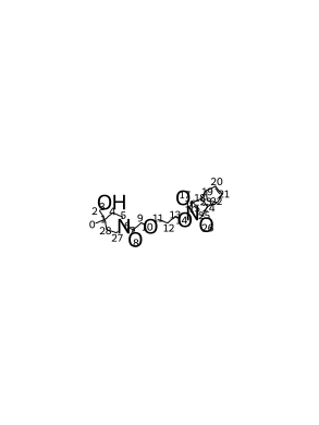 CC1(CO)CCN(C(=O)COCCCON2C(=O)C3C4C=CC(C4)C3C2=O)CC1